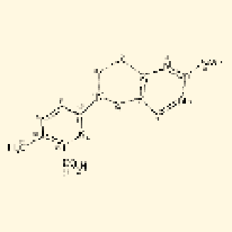 CSc1ncc2c(n1)CCN(c1ccc(C)c(C(=O)O)n1)C2